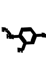 CC(C)Nc1ccc(Br)cc1C(C)C